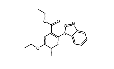 CCOC(=O)C1=C(n2nnc3ccccc32)CC(C)C(OCC)=C1